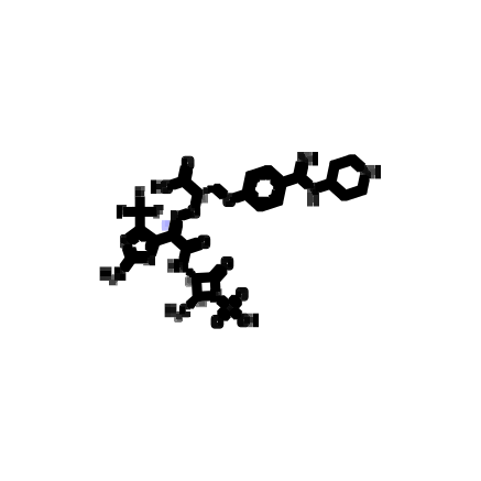 C[C@H]1[C@H](NC(=O)/C(=N\O[C@@H](COc2ccc(C(=N)NC3CCNCC3)cc2)C(=O)O)c2nc(N)sc2C(F)(F)F)C(=O)N1S(=O)(=O)O